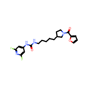 O=C(NCCCCCC1CCN(C(=O)c2ccco2)C1)Nc1cc(F)nc(F)c1